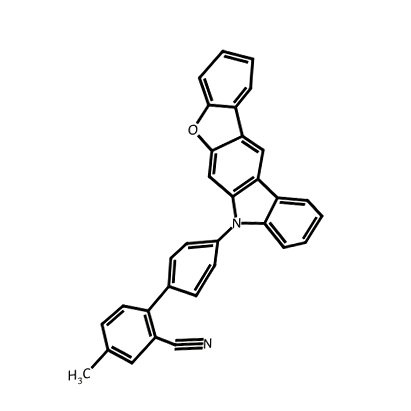 Cc1ccc(-c2ccc(-n3c4ccccc4c4cc5c(cc43)oc3ccccc35)cc2)c(C#N)c1